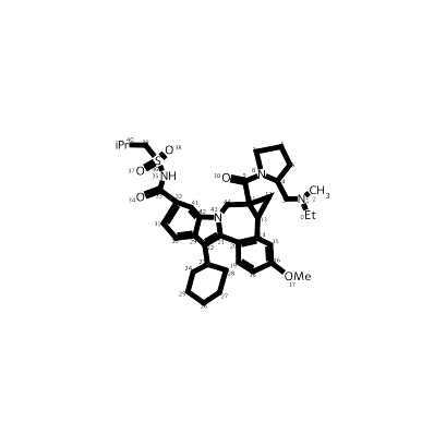 CCN(C)CC1CCCN1C(=O)C12CC1c1cc(OC)ccc1-c1c(C3CCCCC3)c3ccc(C(=O)NS(=O)(=O)CC(C)C)cc3n1C2